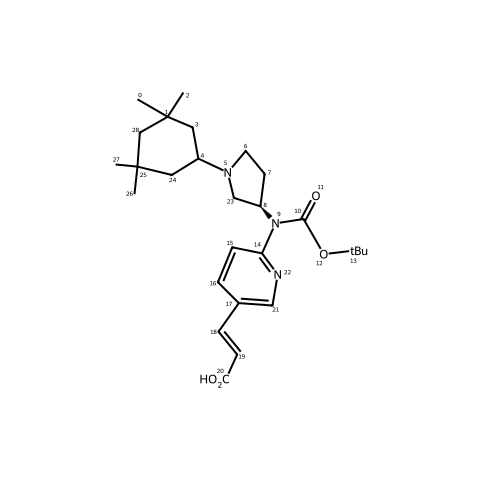 CC1(C)CC(N2CC[C@@H](N(C(=O)OC(C)(C)C)c3ccc(/C=C/C(=O)O)cn3)C2)CC(C)(C)C1